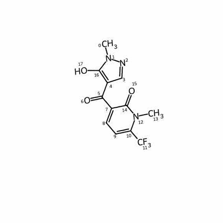 Cn1ncc(C(=O)c2ccc(C(F)(F)F)n(C)c2=O)c1O